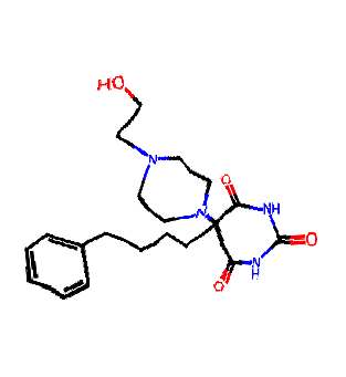 O=C1NC(=O)C(CCCCc2ccccc2)(N2CCN(CCO)CC2)C(=O)N1